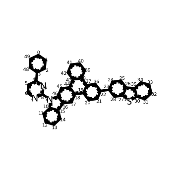 c1ccc(-c2ccnc(-n3c4ccccc4c4cc5c6ccc(-c7ccc8c(c7)sc7ccccc78)cc6c6ccccc6c5cc43)n2)cc1